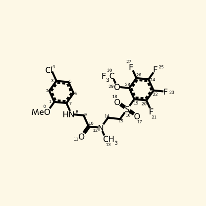 COc1cc(Cl)ccc1NCC(=O)N(C)CCS(=O)(=O)c1c(F)c(F)c(F)c(F)c1OC(F)(F)F